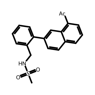 CC(=O)c1cccc2ccc(-c3ccccc3CNS(C)(=O)=O)cc12